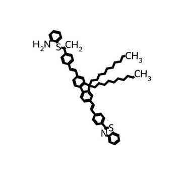 C=C(Sc1ccccc1N)c1ccc(/C=C/c2ccc3c(c2)C(CCCCCCCCCC)(CCCCCCCCCC)c2cc(/C=C/c4ccc(-c5nc6ccccc6s5)cc4)ccc2-3)cc1